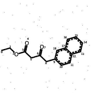 CCOC(=O)CC(=O)Cc1ccc2ccccc2c1